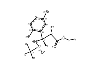 CCOC(=O)[C@H](F)[C@](C)(N[S@+]([O-])C(C)(C)C)c1cc(Br)ccc1F